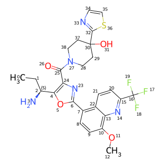 CC[C@H](N)c1oc(-c2ccc(OC)c3nc(C(F)(F)F)ccc23)nc1C(=O)N1CCC(O)(c2nccs2)CC1